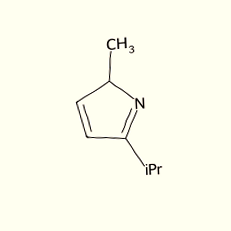 CC1C=CC(C(C)C)=N1